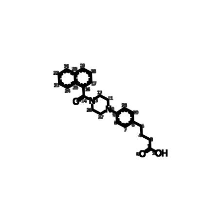 O=C(O)CCCc1ccc(N2CCN(C(=O)c3cccc4ccccc34)CC2)cc1